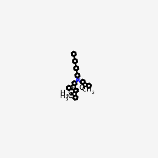 CC1(C)c2ccccc2-c2ccc(N(c3ccc(-c4ccc(-c5ccc(-c6ccccc6)cc5)cc4)cc3)c3ccc(-c4ccccc4-c4cccc5c4C(C)(C)c4ccccc4-5)cc3)cc21